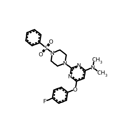 CN(C)c1cc(Oc2ccc(F)cc2)nc(N2CCN(S(=O)(=O)c3ccccc3)CC2)n1